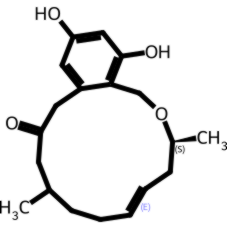 CC1CC/C=C/C[C@H](C)OCc2c(O)cc(O)cc2CC(=O)C1